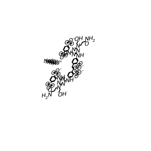 NC(=O)CCN(CCO)c1nc(Nc2ccc(/C=C/c3ccc(Nc4nc(Nc5cc(S(=O)(=O)[O-])ccc5S(=O)(=O)[O-])nc(N(CCO)CCC(N)=O)n4)cc3S(=O)(=O)[O-])c(S(=O)(=O)[O-])c2)nc(Nc2cc(S(=O)(=O)[O-])ccc2S(=O)(=O)[O-])n1.[Na+].[Na+].[Na+].[Na+].[Na+].[Na+]